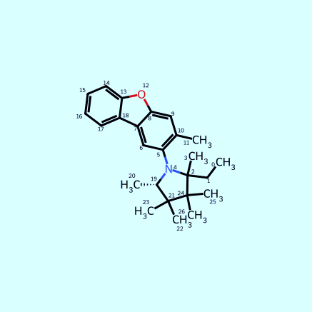 CCC1(C)N(c2cc3c(cc2C)oc2ccccc23)[C@@H](C)C(C)(C)C1(C)C